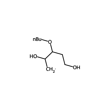 [CH2]C(O)C(CCO)OCCCC